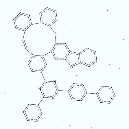 C1=C\c2ccc(-c3nc(-c4ccccc4)nc(-c4ccc(-c5ccccc5)cc4)n3)cc2-c2cc3oc4ccccc4c3cc2Sc2ccccc2-c2ccccc2/1